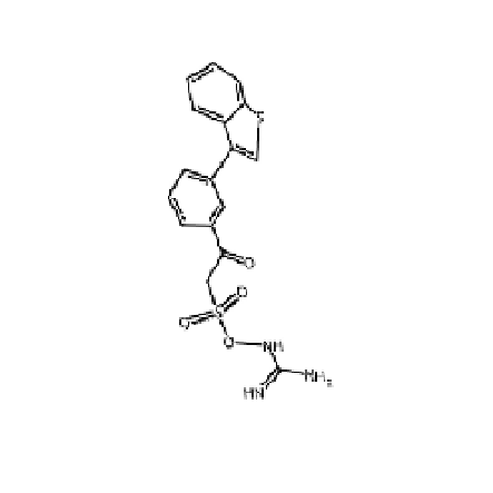 N=C(N)NOS(=O)(=O)CC(=O)c1cccc(-c2csc3ccccc23)c1